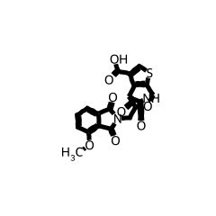 COc1cccc2c1C(=O)N(CC1OC3NC(=O)C(=O)C1c1c(C(=O)O)csc13)C2=O